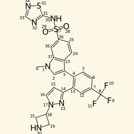 Cn1cc(-c2ccc(C(F)(F)F)cc2-c2ccn(C3CNC3)n2)c2ccc(S(=O)(=O)Nc3ncns3)cc21